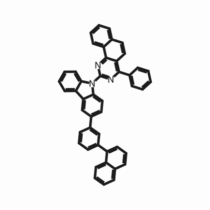 c1ccc(-c2nc(-n3c4ccccc4c4cc(-c5cccc(-c6cccc7ccccc67)c5)ccc43)nc3c2ccc2ccccc23)cc1